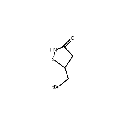 CC(C)(C)CC1CC(=O)NS1